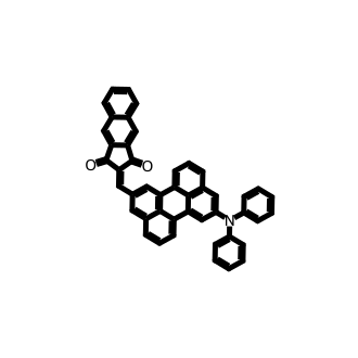 O=C1C(=Cc2cc3cccc4c5cc(N(c6ccccc6)c6ccccc6)cc6cccc(c(c2)c34)c65)C(=O)c2cc3ccccc3cc21